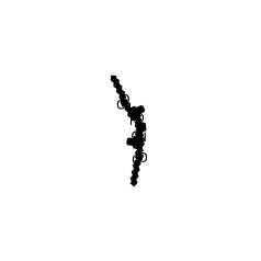 CCCCCCCCOC(=O)CCc1cc(C(C)(C)C)c2oc(-c3ccc(-c4nc5cc(CCC(=O)OCCCCCCCC)cc(C(C)(C)C)c5o4)s3)nc2c1